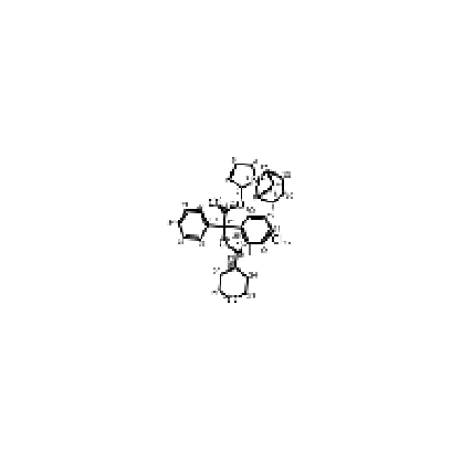 O=C(OC1CCC[N+]12C1CCCC2CC1)C(OC(Cl)C1CCOCC1)(c1ccccc1)c1ccccc1.[Cl-]